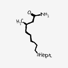 CCCCCCCCCCCCC(C)CC(N)=O